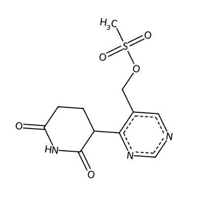 CS(=O)(=O)OCc1cncnc1C1CCC(=O)NC1=O